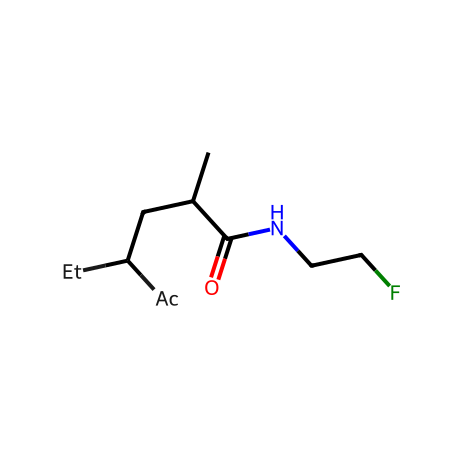 CCC(CC(C)C(=O)NCCF)C(C)=O